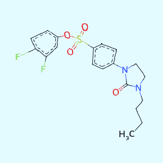 CCCCN1CCN(c2ccc(S(=O)(=O)Oc3ccc(F)c(F)c3)cc2)C1=O